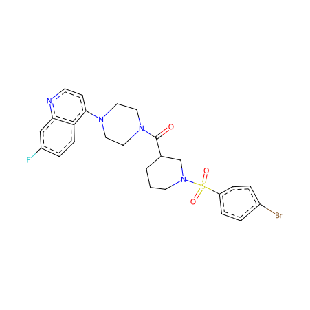 O=C(C1CCCN(S(=O)(=O)c2ccc(Br)cc2)C1)N1CCN(c2ccnc3cc(F)ccc23)CC1